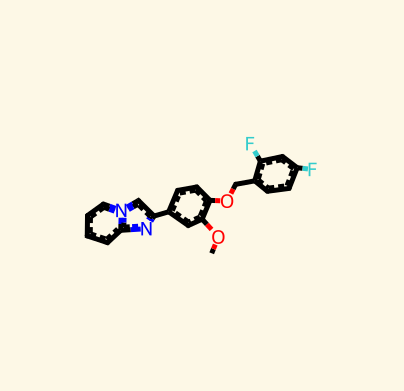 COc1cc(-c2cn3ccccc3n2)ccc1OCc1ccc(F)cc1F